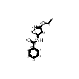 CCOC1=NOC(NC(=O)c2ccccc2)C1